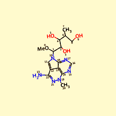 COC(C(O)C(O)C(C)CO)n1cc2c3c(ncnc31)N(C)N=C2N